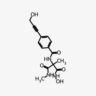 CNC(=O)C(C)(NC(=O)c1ccc(C#CCO)cc1)C(=O)NO